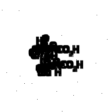 CC(C)(C)c1cccc(NC(=O)N(Cc2ccc(C(=O)NCCC(=O)O)cc2)c2ccc(C3CCCCC3)cc2)c1.CS(=O)(=O)c1cccc(NC(=O)N(Cc2ccc(C(=O)NCCC(=O)O)cc2)c2ccc(C3=CCCCC3)cc2)c1